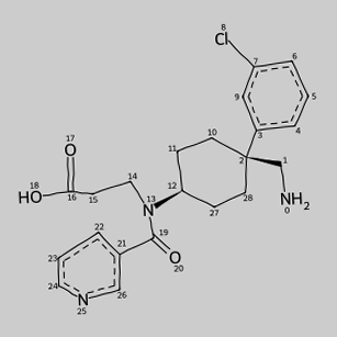 NC[C@]1(c2cccc(Cl)c2)CC[C@H](N(CCC(=O)O)C(=O)c2cccnc2)CC1